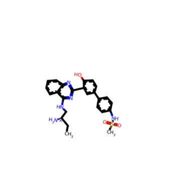 CC[C@@H](N)CNc1nc(-c2cc(-c3ccc(NS(C)(=O)=O)cc3)ccc2O)nc2ccccc12